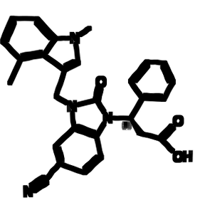 Cc1cccc2c1c(Cn1c(=O)n([C@H](CC(=O)O)c3ccccc3)c3ccc(C#N)cc31)cn2C